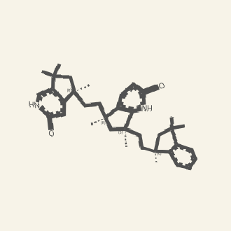 CC1(C)C[C@](C)(CC[C@@]2(C)C[C@@](C)(CC[C@]3(C)CC(C)(C)c4c[nH]c(=O)cc43)c3ccc(=O)[nH]c32)c2ccccc21